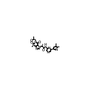 CC(=O)Cn1c(=O)c2c(ncn2[C@@H](C)C(=O)Nc2cncc(-c3cnc(C)c(C)c3)n2)n(C)c1=O